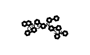 c1ccc(-c2cccc(N(c3ccc4sc5c(N(c6ccccc6)c6ccccc6)cccc5c4c3)c3ccc4sc5c(N(c6ccc7ccccc7c6)c6cccc7c6oc6ccccc67)cccc5c4c3)c2)cc1